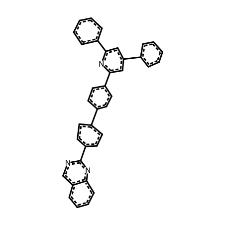 c1ccc(-c2cc(-c3ccccc3)nc(-c3ccc(-c4ccc(-c5ncc6ccccc6n5)cc4)cc3)c2)cc1